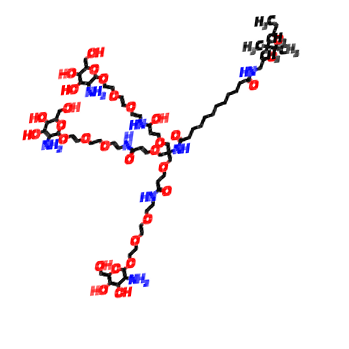 CCCO[C@](C)(OCCNC(=O)CCCCCCCCCCC(=O)NC(COCCC(=O)NCCOCCOCCOC1OC(CO)C(O)C(O)C1N)(COCCC(=O)NCCOCCOCCOC1OC(CO)C(O)C(O)C1N)COCCC(O)NCCOCCOCCOC1OC(CO)C(O)C(O)C1N)C(C)(C)C